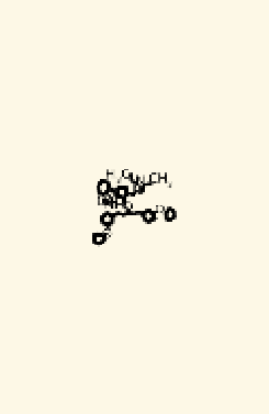 CCCc1nc(CC)cn1Cc1ccc(-c2ccccc2S(N)(=O)=O)cc1F.O=C(CCc1cccc(Oc2ccccc2)c1)CCc1cccc(Oc2ccccc2)c1